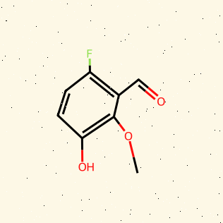 COc1c(O)ccc(F)c1C=O